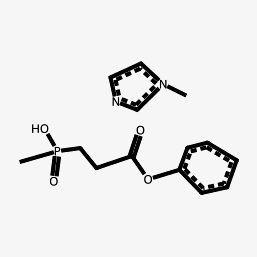 CP(=O)(O)CCC(=O)Oc1ccccc1.Cn1ccnc1